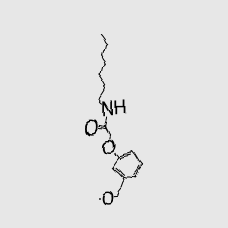 CCCCCCCNC(=O)COc1cccc(C[O])c1